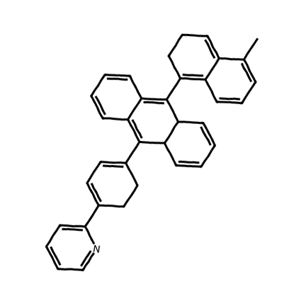 Cc1cccc2c1=CCCC=2C1=c2ccccc2=C(C2=CC=C(c3ccccn3)CC2)C2C=CC=CC12